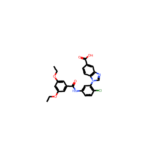 CCOc1cc(OCC)cc(C(=O)Nc2ccc(Cl)c(-n3cnc4cc(C(=O)O)ccc43)c2)c1